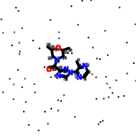 Cc1nccnc1-n1cnc(C(=O)N2CC(C)OC(C)C2)n1